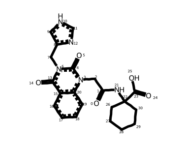 O=C(Cn1c(=O)n(Cc2c[nH]cn2)c(=O)c2ccccc21)NC1(C(=O)O)CCCCC1